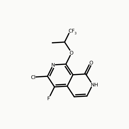 CC(Oc1nc(Cl)c(F)c2cc[nH]c(=O)c12)C(F)(F)F